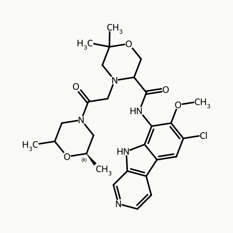 COc1c(Cl)cc2c([nH]c3cnccc32)c1NC(=O)C1COC(C)(C)CN1CC(=O)N1CC(C)O[C@H](C)C1